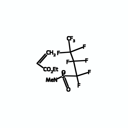 C=CC(=O)OCC.CNS(=O)(=O)C(F)(F)C(F)(F)C(F)(F)C(F)(F)F